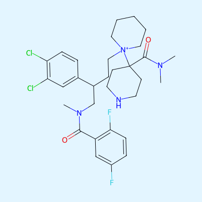 CN(C)C(=O)C1([N+]2(CCC(CN(C)C(=O)c3cc(F)ccc3F)c3ccc(Cl)c(Cl)c3)CCCCC2)CCNCC1